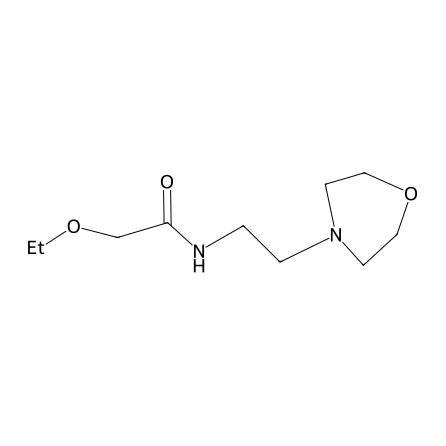 [CH2]COCC(=O)NCCN1CCOCC1